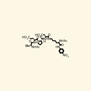 CC[C@H](C)[C@H](NC(C)=O)C(=O)N[C@@H](CCC(=O)O)C(=O)N1CCC[C@H]1C(=O)N[C@@H](CC(=O)O)C(=O)NCCCC[C@H](NC(C)=O)C(=O)Nc1ccc([N+](=O)[O-])cc1